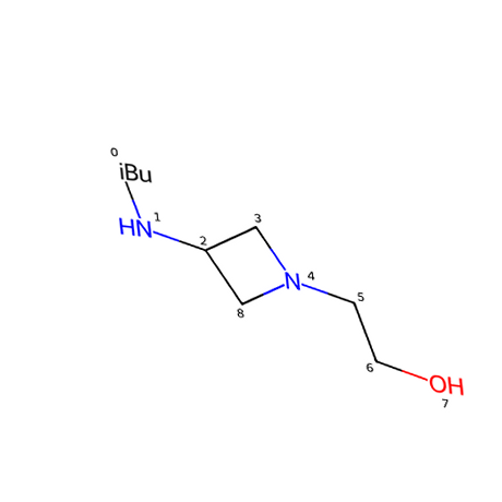 CCC(C)NC1CN(CCO)C1